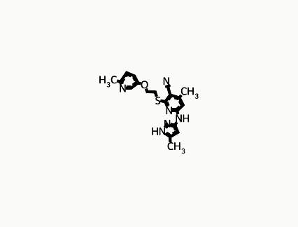 Cc1ccc(OCCSc2nc(Nc3cc(C)[nH]n3)cc(C)c2C#N)cn1